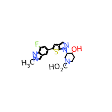 Cn1cc2cc(-c3cc4cnn([C@@H]5CN(C(=O)O)CC[C@H]5O)c4s3)cc(F)c2n1